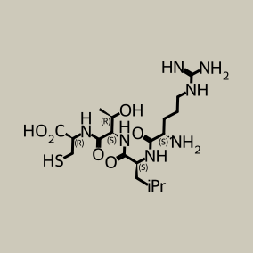 CC(C)C[C@H](NC(=O)[C@@H](N)CCCNC(=N)N)C(=O)N[C@H](C(=O)N[C@@H](CS)C(=O)O)[C@@H](C)O